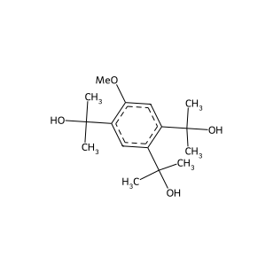 COc1cc(C(C)(C)O)c(C(C)(C)O)cc1C(C)(C)O